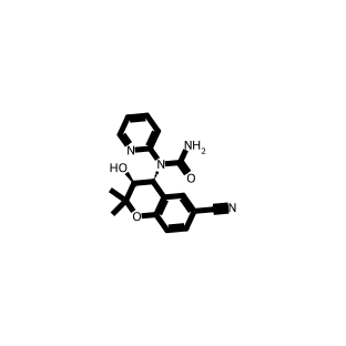 CC1(C)Oc2ccc(C#N)cc2[C@@H](N(C(N)=O)c2ccccn2)[C@@H]1O